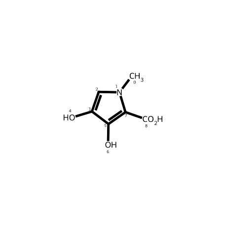 Cn1cc(O)c(O)c1C(=O)O